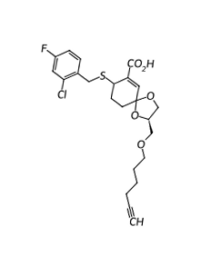 C#CCCCCOC[C@@H]1COC2(C=C(C(=O)O)C(SCc3ccc(F)cc3Cl)CC2)O1